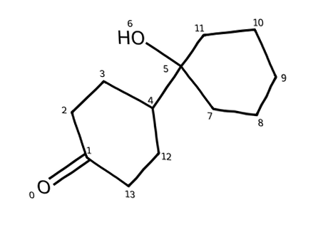 O=C1CCC(C2(O)CCCCC2)CC1